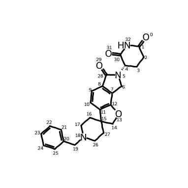 O=C1CC[C@H](N2Cc3c(ccc4c3OCC43CCN(Cc4ccccc4)CC3)C2=O)C(=O)N1